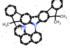 CC1(C)c2ccccc2-c2cc3c4cc5c(cc4n(-c4cccc6ccc7cccnc7c46)c3cc21)C(C)(C)c1ccccc1-5